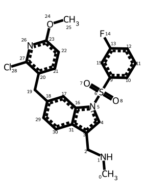 CNCc1cn(S(=O)(=O)c2cccc(F)c2)c2cc(Cc3ccc(OC)nc3Cl)ccc12